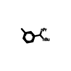 CCCCC(CCC)c1cccc(C)c1